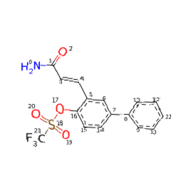 NC(=O)/C=C/c1cc(-c2ccccc2)ccc1OS(=O)(=O)C(F)(F)F